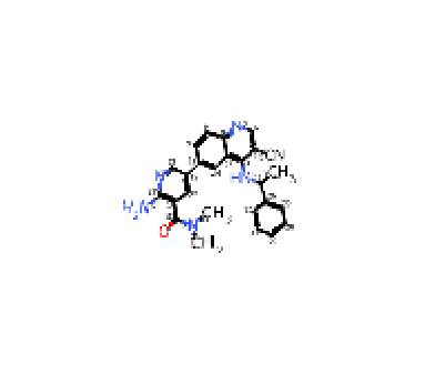 CC(Nc1c(C#N)cnc2ccc(-c3cnc(N)c(C(=O)N(C)C)c3)cc12)c1ccccc1